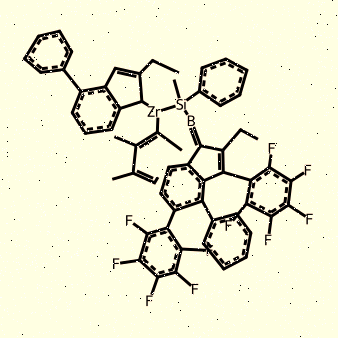 CC=C(C)C(C)=[C](C)[Zr]([CH]1C(CC)=Cc2c(-c3ccccc3)cccc21)[Si](C)(/B=C1/C(CC)=C(c2c(F)c(F)c(F)c(F)c2F)c2c1ccc(-c1c(F)c(F)c(F)c(F)c1F)c2-c1ccccc1)c1ccccc1